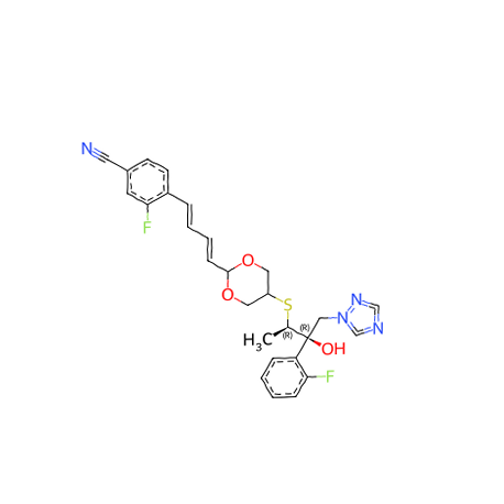 C[C@@H](SC1COC(C=CC=Cc2ccc(C#N)cc2F)OC1)[C@](O)(Cn1cncn1)c1ccccc1F